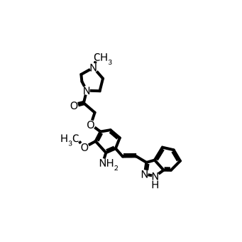 COc1c(OCC(=O)N2CCN(C)CC2)ccc(/C=C/c2n[nH]c3ccccc23)c1N